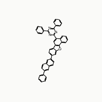 c1ccc(-c2ccc3cc(-c4ccc5c(c4)oc4c6ccccc6c(-c6nc(-c7ccccc7)nc(-c7ccccc7)n6)cc54)ccc3c2)cc1